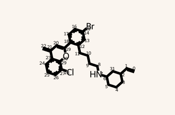 C=CC1CCCC(NCCCCc2cc(Br)ccc2C2=CC(=C)c3cccc(Cl)c3O2)C1